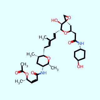 CC(=O)O[C@@H](C)/C=C\C(=O)N[C@@H]1C[C@H](C)[C@H](C/C=C(C)/C=C/[C@H]2O[C@H](CC(=O)N[C@H]3CC[C@H](O)CC3)C[C@@]3(CO3)[C@@H]2O)O[C@@H]1C